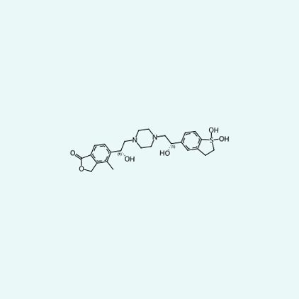 Cc1c([C@@H](O)CN2CCN(C[C@@H](O)c3ccc4c(c3)CCS4(O)O)CC2)ccc2c1COC2=O